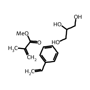 C=C(C)C(=O)OC.C=Cc1ccccc1.OCC(O)CO